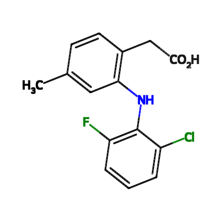 Cc1ccc(CC(=O)O)c(Nc2c(F)cccc2Cl)c1